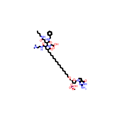 CCCCNC(=O)CCC(CC(CC(CCCCCCCCCCCCCCCCCOC[C@H]1O[C@@H](n2ccc3c(=O)[nH]c(N)nc32)C[C@H]1OP(=O)(O)OC)C(=O)NCC(=O)O)C(=O)NCCN(C)C)C(=O)NCc1ccccc1